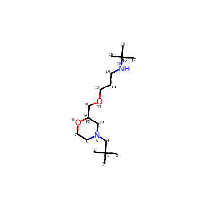 CC(C)(C)CN1CCO[C@@H](COCCCNC(C)(C)C)C1